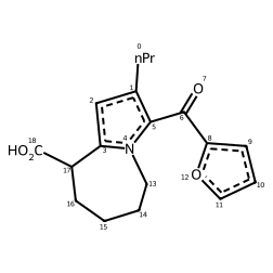 CCCc1cc2n(c1C(=O)c1ccco1)CCCCC2C(=O)O